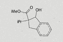 COC(=O)C1(C(C)C)Cc2ccccc2C1O